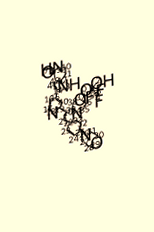 O=C(O)C(F)(F)F.O=C1NCCc2[nH]c(-c3ccnc(C=Cc4ccc(N5CCOCC5)cc4N4CCOCC4)c3)cc21